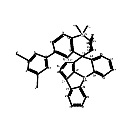 Cc1cc(C)cc(-c2ccc3c(c2)C2(c4ccccc4-n4c5ccccc5c5cccc2c54)c2ccccc2S3(C)C)c1